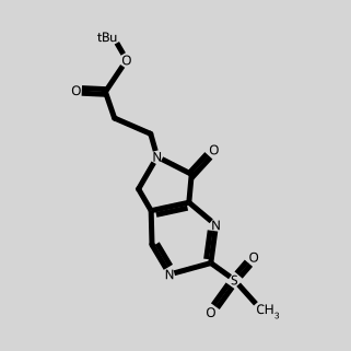 CC(C)(C)OC(=O)CCN1Cc2cnc(S(C)(=O)=O)nc2C1=O